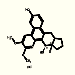 COc1cc2c(nc1OC)c1c(c3ccc(O)cc32)CC2CCC[C@@H]2[C@@H]1O.Cl